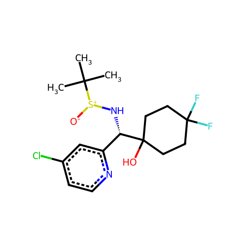 CC(C)(C)[S+]([O-])N[C@@H](c1cc(Cl)ccn1)C1(O)CCC(F)(F)CC1